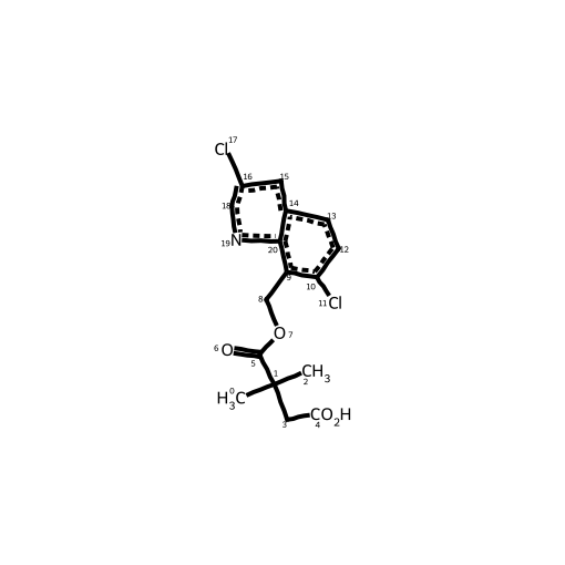 CC(C)(CC(=O)O)C(=O)OCc1c(Cl)ccc2cc(Cl)cnc12